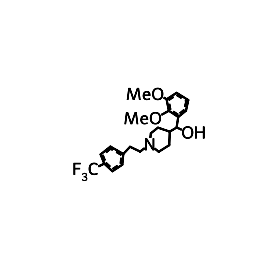 COc1cccc(C(O)C2CCN(CCc3ccc(C(F)(F)F)cc3)CC2)c1OC